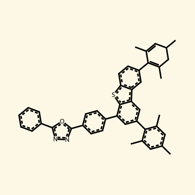 CC1=CC(C)CC(C)=C1c1ccc2sc3c(-c4ccc(-c5nnc(-c6ccccc6)o5)cc4)cc(-c4c(C)cc(C)cc4C)cc3c2c1